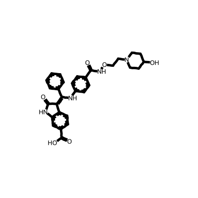 O=C1Nc2cc(C(=O)O)ccc2C1=C(Nc1ccc(C(=O)NOCCN2CCC(O)CC2)cc1)c1ccccc1